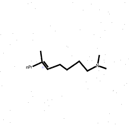 CCC/C(C)=C/CCCCN(C)C